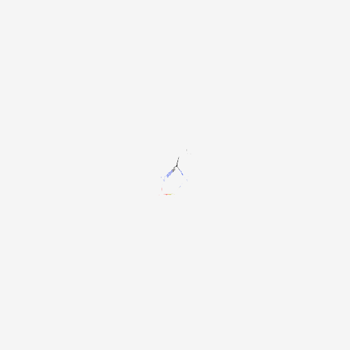 CC1=NOSN1